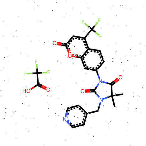 CC1(C)C(=O)N(c2ccc3c(C(F)(F)F)cc(=O)oc3c2)C(=O)N1Cc1ccncc1.O=C(O)C(F)(F)F